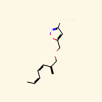 C=C(/C=C\C=C/C)COCc1cc(C(=O)OCC)no1